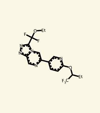 CCOC(F)(F)c1nnc2cnc(-c3ccc(OC(CC)C(F)(F)F)nc3)cn12